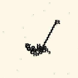 CCC=CCC=CCC=CCC=CCC=CCC=CCCC(=O)N[C@@H](C)C(=O)NCCNC(=O)C(C)c1ccc(CC(C)C)cc1